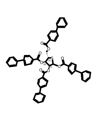 O=C(OC[C@@H]1SC(OC(=O)c2ccc(-c3ccccc3)cc2)[C@@H](OC(=O)c2ccc(-c3ccccc3)cc2)[C@H]1OC(=O)c1ccc(-c2ccccc2)cc1)c1ccc(-c2ccccc2)cc1